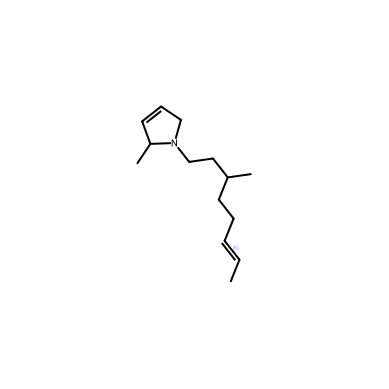 C/C=C/CCC(C)CCN1CC=CC1C